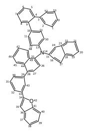 c1ccc(-c2ccccc2-c2ccc(N(c3ccc4ccccc4c3)c3ccc(-c4cccc(-c5cc6ccccc6o5)c4)c4ccccc34)cc2)cc1